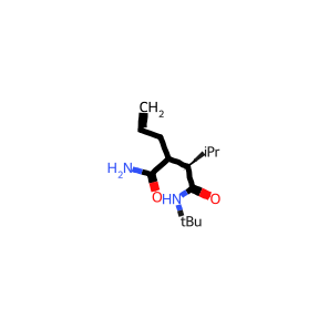 C=CCC(C(N)=O)[C@H](C(=O)NC(C)(C)C)C(C)C